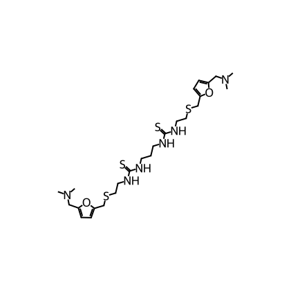 CN(C)Cc1ccc(CSCCNC(=S)NCCCNC(=S)NCCSCc2ccc(CN(C)C)o2)o1